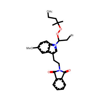 COc1ccc2c(c1)c(CCN1C(=O)c3ccccc3C1=O)cn2C(CC(C)C)OOC(C)(C)CCOC(C)=O